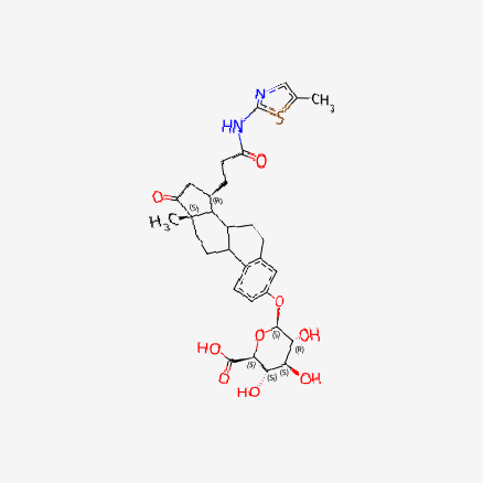 Cc1cnc(NC(=O)CC[C@@H]2CC(=O)[C@@]3(C)CCC4c5ccc(O[C@@H]6O[C@H](C(=O)O)[C@@H](O)[C@H](O)[C@H]6O)cc5CCC4C23)s1